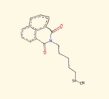 N#C[Se]CCCCCN1C(=O)c2cccc3cccc(c23)C1=O